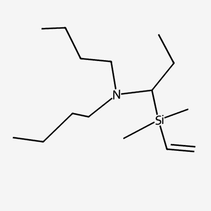 C=C[Si](C)(C)C(CC)N(CCCC)CCCC